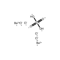 O=S(=O)(O)O.[Ba+2].[Ba+2].[Cl-].[Cl-].[Cl-].[Cl-]